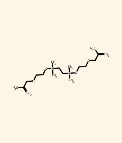 C=C(C)COCCO[Si](C)(C)CC[Si](C)(C)OCCOCC(=C)C